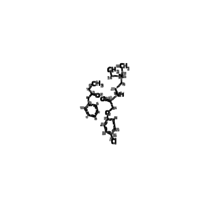 CCC(=O)Cc1ccccc1.CCN(CC)CCNC(=O)COc1ccc(Cl)cc1